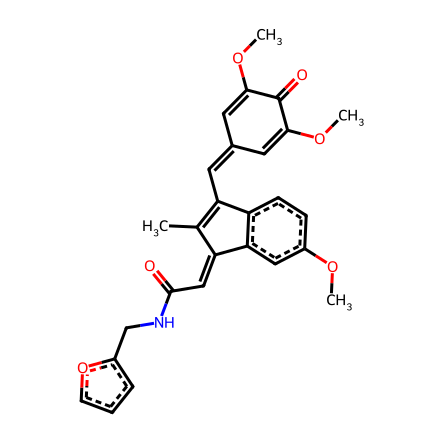 COC1=CC(=CC2=C(C)C(=CC(=O)NCc3ccco3)c3cc(OC)ccc32)C=C(OC)C1=O